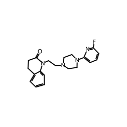 O=C1CCc2ccccc2N1CCN1CCN(c2cccc(F)n2)CC1